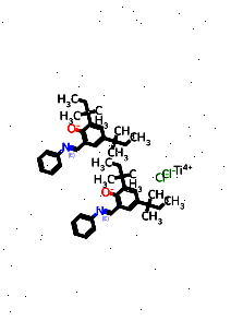 CCC(C)(C)c1cc(/C=N/c2ccccc2)c([O-])c(C(C)(C)CC)c1.CCC(C)(C)c1cc(/C=N/c2ccccc2)c([O-])c(C(C)(C)CC)c1.[Cl-].[Cl-].[Ti+4]